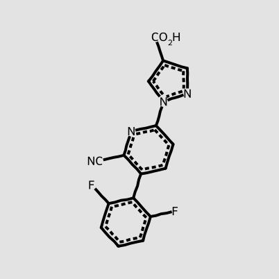 N#Cc1nc(-n2cc(C(=O)O)cn2)ccc1-c1c(F)cccc1F